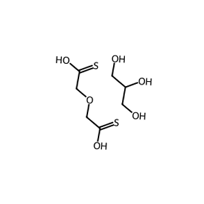 OC(=S)COCC(O)=S.OCC(O)CO